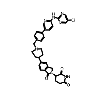 O=C1CCC(N2Cc3cc(C4CCN(Cc5ccc(-c6ccc(Nc7ncc(Cl)cn7)nc6)cc5)CC4)ccc3C2=O)C(=O)N1